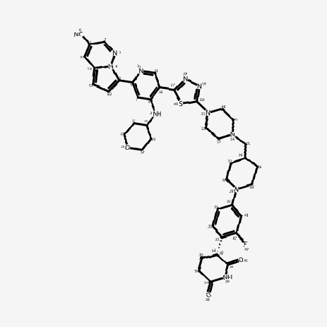 N#Cc1cnn2c(-c3cc(NC4CCOCC4)c(-c4nnc(N5CCN(CC6CCN(c7ccc([C@H]8CCC(=O)NC8=O)c(F)c7)CC6)CC5)s4)cn3)ccc2c1